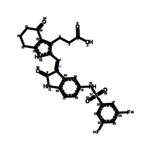 O=C(O)CCc1c(/C=C2\C(=O)Nc3ccc(NS(=O)(=O)c4cc(F)cc(F)c4)cc32)[nH]c2c1C(=O)CCC2